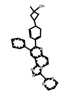 CC1(O)CC(C2C=CC(c3nc4ccn5c(-c6ncccn6)nnc5c4cc3-c3ccccc3)=CC2)C1